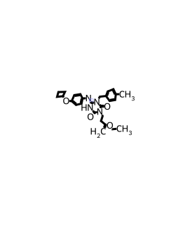 C=C(CCn1c(=O)[nH]/c(=N\c2ccc(OC3CCC3)cc2)n(Cc2ccc(C)cc2)c1=O)OCC